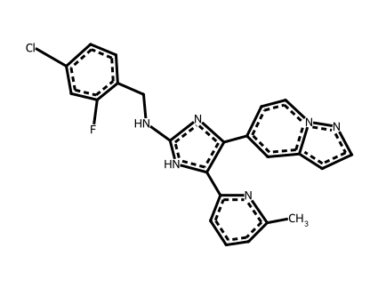 Cc1cccc(-c2[nH]c(NCc3ccc(Cl)cc3F)nc2-c2ccn3nccc3c2)n1